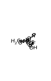 C=CC(=O)N1CCN(c2nc(OCCCN3CCCCC3)nc3c2CCN(c2ccc(O)cc2OC(F)(F)F)C3)CC1